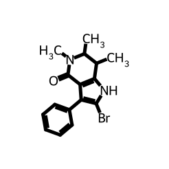 CC1c2[nH]c(Br)c(-c3ccccc3)c2C(=O)N(C)C1C